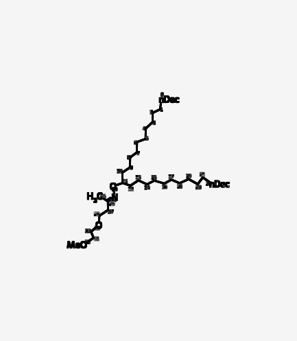 CCCCCCCCCCCCCCCCCCCCC(CCCCCCCCCCCCCCCCCCCC)O/N=C(\C)CCOCCOC